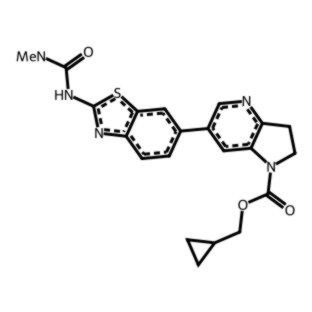 CNC(=O)Nc1nc2ccc(-c3cnc4c(c3)N(C(=O)OCC3CC3)CC4)cc2s1